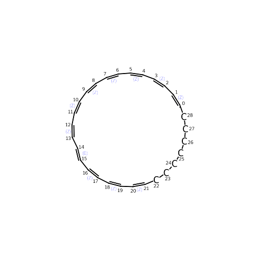 [C]1=C/C=C\C=C/C=C\C=C/C=C\C=C/C=C/C=C\C=C/C=C\CCCCCCC\1